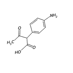 CC(=O)C(C(=O)O)c1ccc(N)cc1